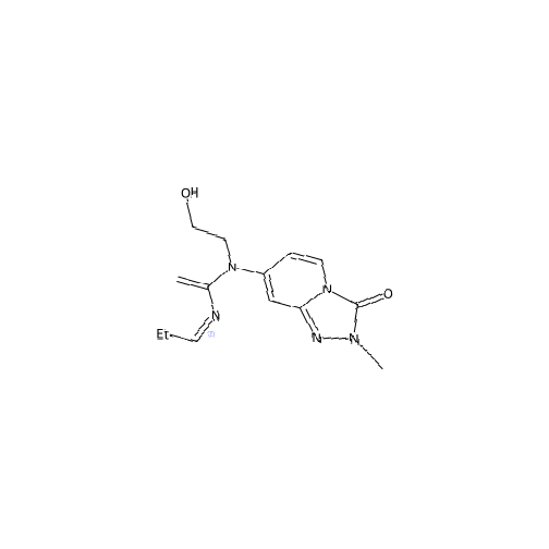 C=C(/N=C\CC)N(CCO)c1ccn2c(=O)n(C)nc2c1